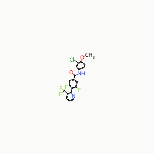 COc1ccc(NC(=O)c2ccc(-c3ncccc3C(F)(F)F)c(F)c2)cc1Cl